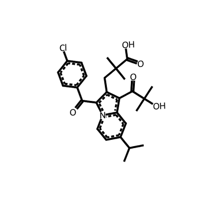 CC(C)c1ccn2c(C(=O)c3ccc(Cl)cc3)c(CC(C)(C)C(=O)O)c(C(=O)C(C)(C)O)c2c1